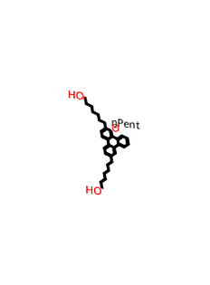 CCCCCOc1c(CCCCCCCO)ccc2c3ccc(CCCCCCCO)cc3c3ccccc3c12